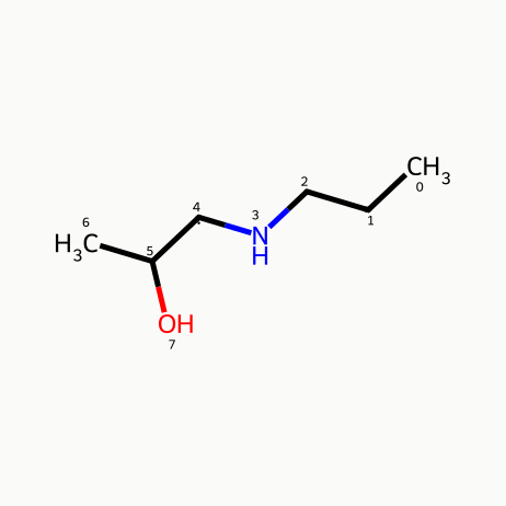 CCCN[CH]C(C)O